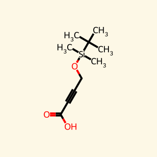 CC(C)(C)[Si](C)(C)OCC#CC(=O)O